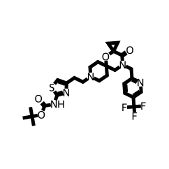 CC(C)(C)OC(=O)Nc1nc(CCN2CCC3(CC2)CN(Cc2ccc(C(F)(F)F)cn2)C(=O)C2(CC2)O3)cs1